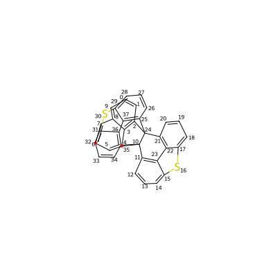 c1cc2c3c(cccc3c1)C13c4cccc5sc6cccc(c6c45)C21c1cccc2sc4cccc3c4c12